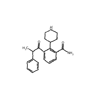 CC(C(=O)c1cccc(C(N)=O)c1C1CCNCC1)c1ccccc1